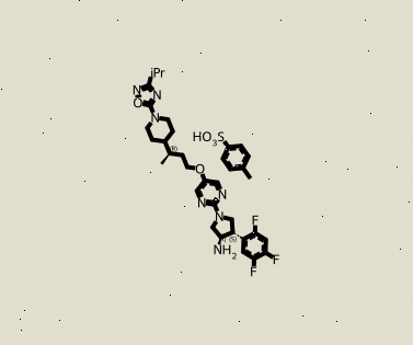 CC(C)c1noc(N2CCC([C@H](C)CCOc3cnc(N4C[C@H](c5cc(F)c(F)cc5F)[C@@H](N)C4)nc3)CC2)n1.Cc1ccc(S(=O)(=O)O)cc1